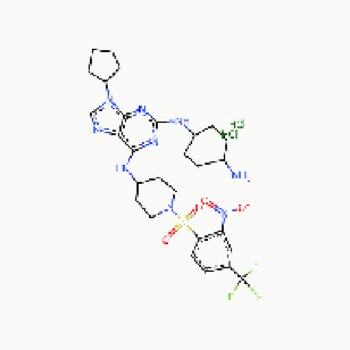 Cl.Cl.NC1CCC(Nc2nc(NC3CCN(S(=O)(=O)c4ccc(C(F)(F)F)cc4[N+](=O)[O-])CC3)c3ncn(C4CCCC4)c3n2)CC1